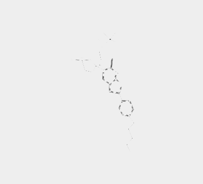 CCCCCc1ccc(-c2cc3cn([C@]4(CO[Si](C)(C)C(C)(C)C)C[C@H](O)CO4)c(=O)nc3o2)cc1